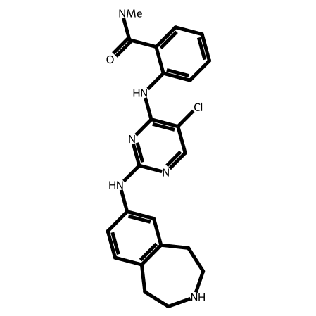 CNC(=O)c1ccccc1Nc1nc(Nc2ccc3c(c2)CCNCC3)ncc1Cl